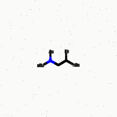 CCCCC(CC)CN(CCCC)C(C)=O